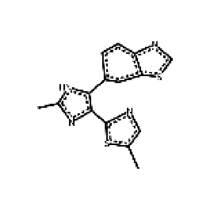 Cc1nc(-c2ncc(C)s2)c(-c2ccc3ncsc3c2)[nH]1